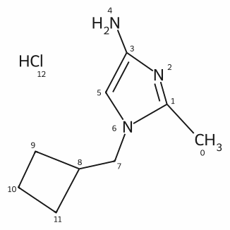 Cc1nc(N)cn1CC1CCC1.Cl